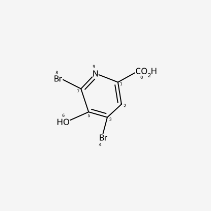 O=C(O)c1cc(Br)c(O)c(Br)n1